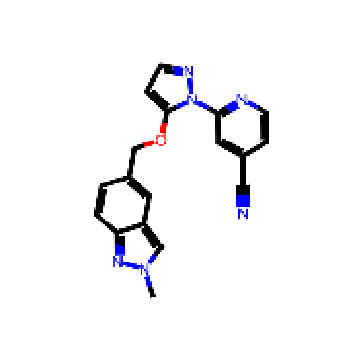 Cn1cc2cc(COc3ccnn3-c3cc(C#N)ccn3)ccc2n1